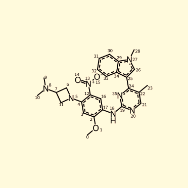 COc1cc(N2CC(N(C)C)C2)c([N+](=O)[O-])cc1Nc1ncc(C)c(-c2cn(C)c3ccccc23)n1